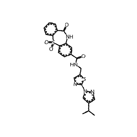 CC(C)c1cnn(-c2ncc(CNC(=O)c3ccc4c(c3)NC(=O)c3ccccc3S4(=O)=O)s2)c1